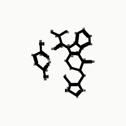 Cc1[nH]cnc1CC1CCc2c(c3ccccc3n2C(=O)N(C)C)C1=O.O=C(O)/C=C\C(=O)O